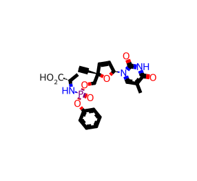 C#C[C@@]1(CO[P@](=O)(N[C@@H](C)C(=O)O)Oc2ccccc2)C=C[C@H](n2cc(C)c(=O)[nH]c2=O)O1